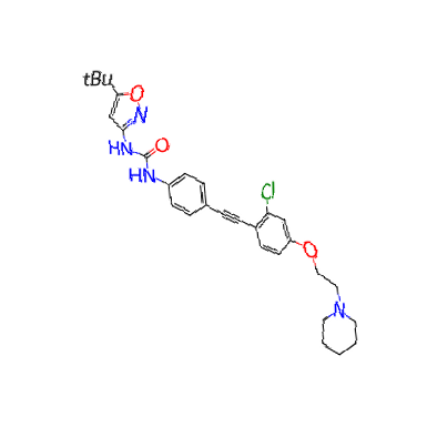 CC(C)(C)c1cc(NC(=O)Nc2ccc(C#Cc3ccc(OCCN4CCCCC4)cc3Cl)cc2)no1